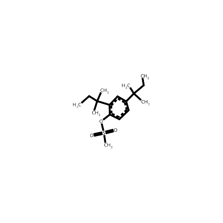 CCC(C)(C)c1ccc(OS(C)(=O)=O)c(C(C)(C)CC)c1